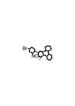 O=[N+]([O-])c1cc(Br)ccc1-c1ccc2c3ccccc3c3ccccc3c2c1